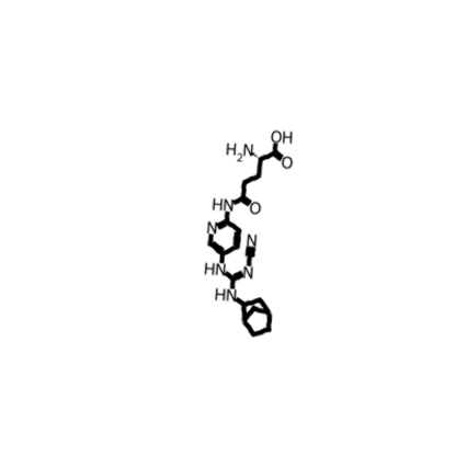 N#CN=C(Nc1ccc(NC(=O)CC[C@H](N)C(=O)O)nc1)NC1CC2CCC1C2